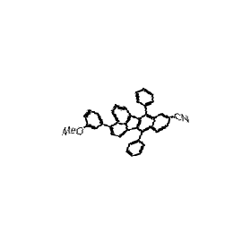 COc1cccc(-c2ccc3c4c(cccc24)-c2c-3c(-c3ccccc3)c3ccc(C#N)cc3c2-c2ccccc2)c1